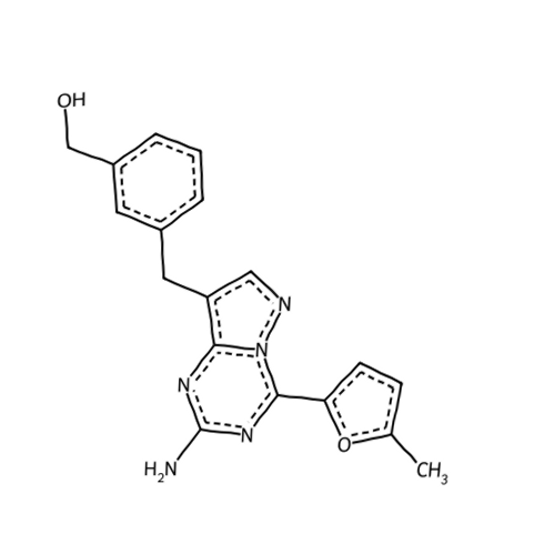 Cc1ccc(-c2nc(N)nc3c(Cc4cccc(CO)c4)cnn23)o1